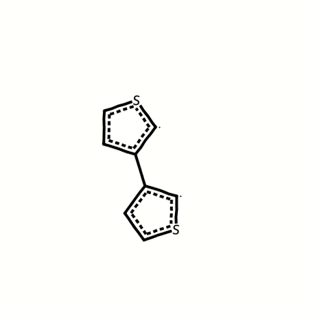 [c]1sccc1-c1[c]scc1